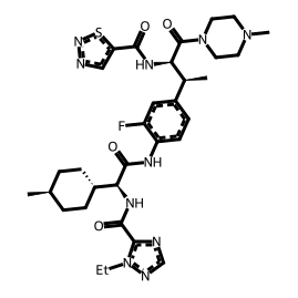 CCn1ncnc1C(=O)N[C@H](C(=O)Nc1ccc([C@H](C)[C@@H](NC(=O)c2cnns2)C(=O)N2CCN(C)CC2)cc1F)[C@H]1CC[C@H](C)CC1